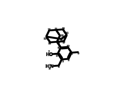 Cc1cc(CN)c(O)c(C23CC4CC(CC(C4)C2)C3)c1